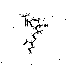 C=C/C=C(C=C)/C=C/C(=O)c1cc(NC(C)=O)ccc1O